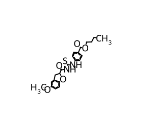 CCCCOC(=O)c1ccc(NC(=S)NC(=O)C2Cc3cc(OC)ccc3O2)cc1